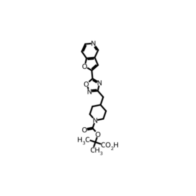 CC(C)(OC(=O)N1CCC(Cc2noc(-c3cc4cnccc4o3)n2)CC1)C(=O)O